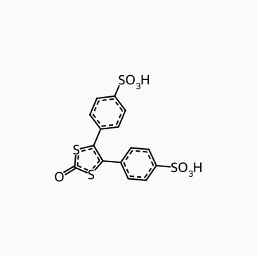 O=c1sc(-c2ccc(S(=O)(=O)O)cc2)c(-c2ccc(S(=O)(=O)O)cc2)s1